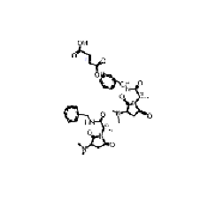 C[C@@H](C(=O)NCc1ccccc1)N1C(=O)CC(N(C)C)C1=O.C[C@@H](C(=O)NCc1ccccc1)N1C(=O)CC(N(C)C)C1=O.O=C(O)/C=C/C(=O)O